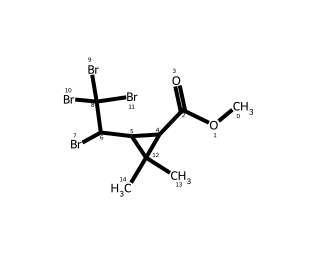 COC(=O)C1C(C(Br)C(Br)(Br)Br)C1(C)C